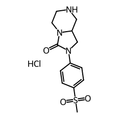 CS(=O)(=O)c1ccc(N2CC3CNCCN3C2=O)cc1.Cl